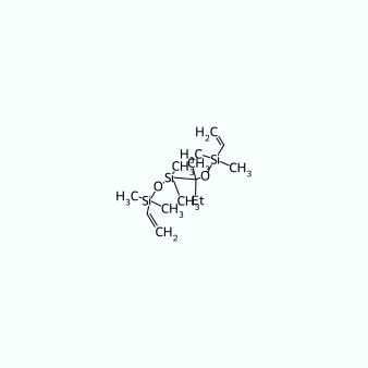 C=C[Si](C)(C)OC(C)(CC)[Si](C)(C)O[Si](C)(C)C=C